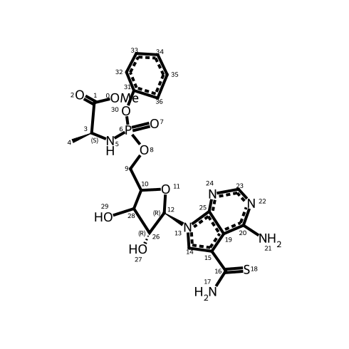 COC(=O)[C@H](C)NP(=O)(OCC1O[C@@H](n2cc(C(N)=S)c3c(N)ncnc32)[C@H](O)C1O)Oc1ccccc1